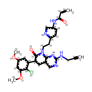 C#CCNc1ncc2cc(-c3cc(OC)cc(OC)c3Cl)c(=O)n(CCc3ccc(NC(=O)C=C)cn3)c2n1